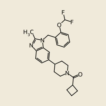 Cc1nc2ccc(C3CCN(C(=O)C4CCC4)CC3)cc2n1Cc1ccccc1OC(F)F